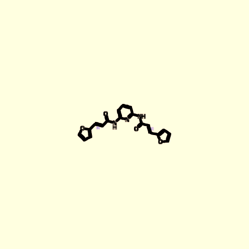 O=C(/C=C/c1ccco1)Nc1cccc(NC(=O)/C=C/c2ccco2)n1